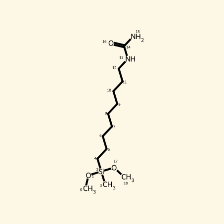 CO[Si](C)(CCCCCCCCCNC(N)=O)OC